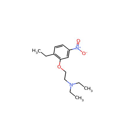 CCc1ccc([N+](=O)[O-])cc1OCCN(CC)CC